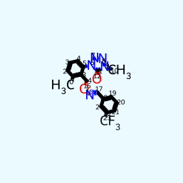 Cc1cccc(-n2nnn(C)c2=O)c1CO/N=C/c1cccc(C(F)(F)F)c1